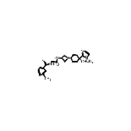 Cc1cccc(C(=O)NCC(=O)NC2CN([C@H]3CC[C@@](O)(c4nccn4C)CC3)C2)c1